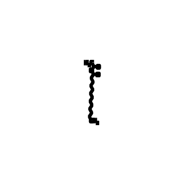 CCCCCCCCCCCCC(=O)OC(C)=O